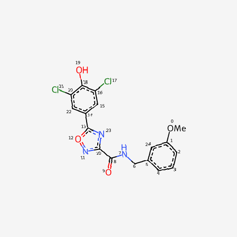 COc1cccc(CNC(=O)c2noc(-c3cc(Cl)c(O)c(Cl)c3)n2)c1